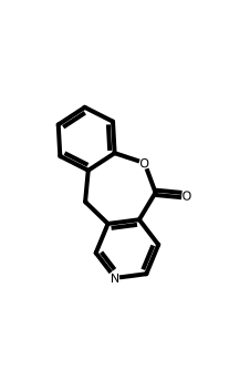 O=C1Oc2ccccc2Cc2cnccc21